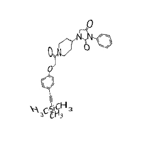 C[Si](C)(C)C#Cc1ccc(OCC(=O)N2CCC(N3CC(=O)N(c4ccccc4)C3=O)CC2)cc1